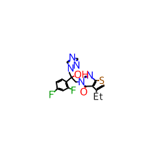 CCc1csc2ncn(CC(O)(Cn3cncn3)c3ccc(F)cc3F)c(=O)c12